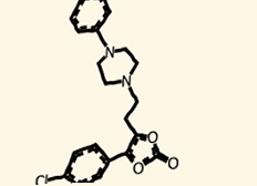 O=c1oc(CCN2CCN(c3ccccc3)CC2)c(-c2ccc(Cl)cc2)o1